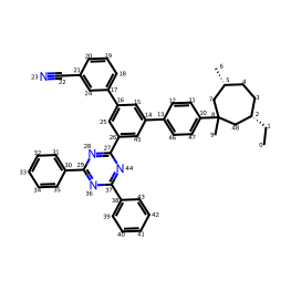 CC[C@H]1CC[C@@H](C)CC(C)(c2ccc(-c3cc(-c4cccc(C#N)c4)cc(-c4nc(-c5ccccc5)nc(-c5ccccc5)n4)c3)cc2)C1